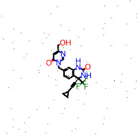 O=C1Nc2cc(Cn3cnc(CO)cc3=O)ccc2[C@@](C#CC2CC2)(C(F)(F)F)N1